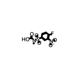 CN(C(=O)O)S(=O)(=O)c1ccc(F)c([N+](=O)[O-])c1